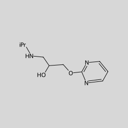 CC(C)NCC(O)COc1ncccn1